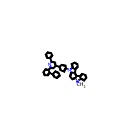 Cn1c2ccccc2c2c3c4ccccc4n(-c4ccc(-c5cc(-c6ccccc6)nc(-c6ccccc6-c6ccccc6)c5)cc4)c3ccc21